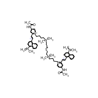 CC(=O)Nc1cc[n+](CCCC[N+](C)(C)CCSSCC[N+](C)(C)CCCC[n+]2ccc(NC(C)=O)cc2/C=C/c2ccc(N(C)C)c3ccccc23)c(/C=C/c2ccc(N(C)C)c3ccccc23)c1